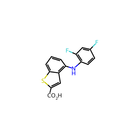 O=C(O)c1cc2c(Nc3ccc(F)cc3F)cccc2s1